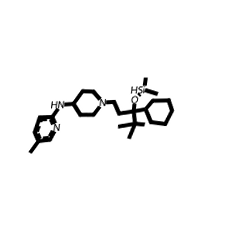 Cc1ccc(NC2CCN(CCC(O[SiH](C)C)(C3CCCCC3)C(C)(C)C)CC2)nc1